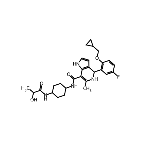 CC1=C(C(=O)NC2CCC(NC(=O)C(C)O)CC2)c2[nH]ccc2C(c2cc(F)ccc2OCC2CC2)N1